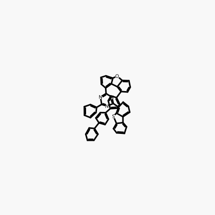 c1ccc(-c2ccc(-c3ccc(-c4cccc5oc6cccc(-c7nc(-c8ccccc8)nc(-c8cccc9c8sc8ccccc89)n7)c6c45)cc3)cc2)cc1